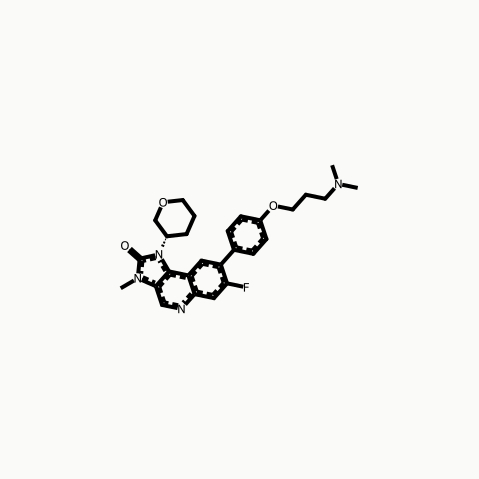 CN(C)CCCOc1ccc(-c2cc3c(cc2F)ncc2c3n([C@H]3CCCOC3)c(=O)n2C)cc1